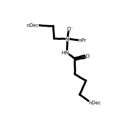 CCCCCCCCCCCCCC(=O)N[N+]([O-])(CCC)CCCCCCCCCCCC